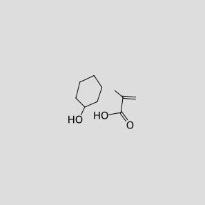 C=C(C)C(=O)O.OC1CCCCC1